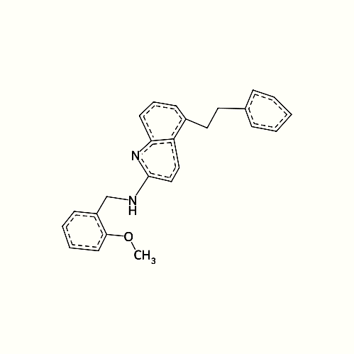 COc1ccccc1CNc1ccc2c(CCc3ccccc3)cccc2n1